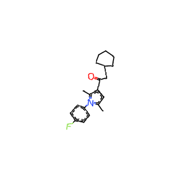 Cc1cc(C(=O)CC2CCCCC2)c(C)n1-c1ccc(F)cc1